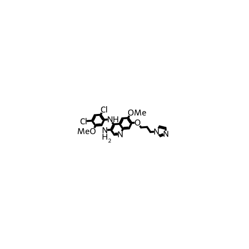 COc1cc(Nc2c(N)cnc3cc(OCCCn4ccnc4)c(OC)cc23)c(Cl)cc1Cl